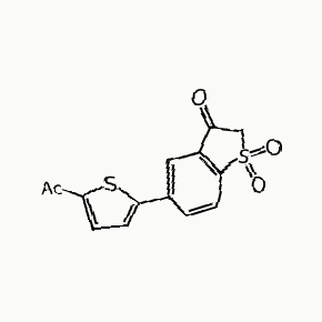 CC(=O)c1ccc(-c2ccc3c(c2)C(=O)CS3(=O)=O)s1